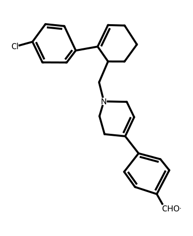 O=[C]c1ccc(C2=CCN(CC3CCCC=C3c3ccc(Cl)cc3)CC2)cc1